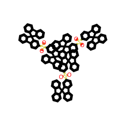 O=S(=O)(c1ccc2c(c1)C1(c3ccccc3-c3ccccc31)c1ccccc1-2)c1ccc2c(c1)C1(c3ccccc3-c3ccccc31)c1c-2c2c(c3c1-c1ccc(S(=O)(=O)c4ccc5c(c4)C4(c6ccccc6-c6ccccc64)c4ccccc4-5)cc1C31c3ccccc3-c3ccccc31)-c1ccc(S(=O)(=O)c3ccc4c(c3)C3(c5ccccc5-c5ccccc53)c3ccccc3-4)cc1C21c2ccccc2-c2ccccc21